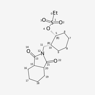 CCS(=O)(=O)O[C@@H]1CCCC[C@@H]1CN1C(=O)C2CCCCC2C1=O